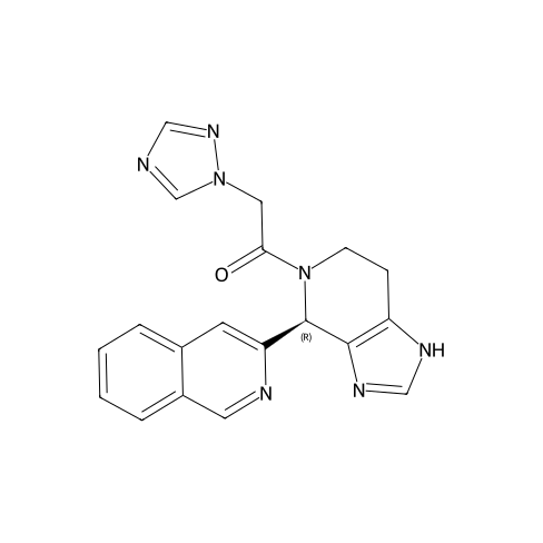 O=C(Cn1cncn1)N1CCc2[nH]cnc2[C@H]1c1cc2ccccc2cn1